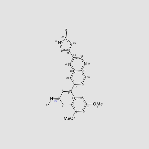 C/N=C(\C)CN(c1cc(OC)cc(OC)c1)c1ccc2ncc(-c3cnn(C)c3)nc2c1